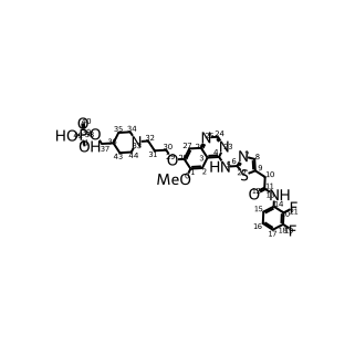 COc1cc2c(Nc3ncc(CC(=O)Nc4cccc(F)c4F)s3)ncnc2cc1OCCCN1CCC(COP(=O)(O)O)CC1